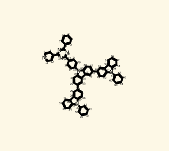 c1ccc(-c2nc(-c3ccncc3)nc(-c3ccc(-n4c5ccc(-c6ccc7c(c6)c6ccccc6n7-c6ccccc6)cc5c5cc(-c6ccc7c(c6)c6ccccc6n7-c6ccccc6)ccc54)cc3)n2)cc1